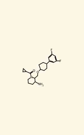 NC1CCCN(C(=O)C2CC2)C1COC1CCC(c2cc(F)cc(F)c2)CC1